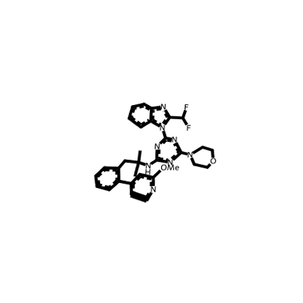 COc1cc(-c2ccccc2CC(C)(C)Nc2nc(N3CCOCC3)nc(-n3c(C(F)F)nc4ccccc43)n2)c#cn1